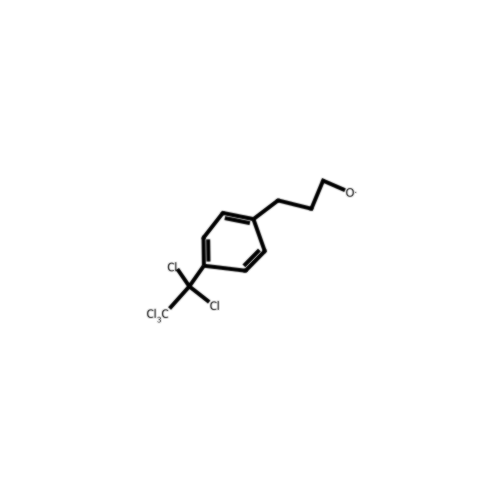 [O]CCCc1ccc(C(Cl)(Cl)C(Cl)(Cl)Cl)cc1